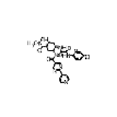 CN(C)C(=O)[C@H]1CC[C@H](NC(=O)C(=O)Nc2ccc(Cl)cn2)[C@H](NC(=O)c2cnc(-c3ccncc3)nc2)C1